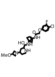 COC1CN(C2CCNC(C(O)NC34CC(C3)C(NC(=O)COc3ccc(Cl)c(F)c3)C4)C2)C1